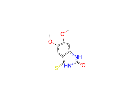 COc1cc2[nH]c(=O)[nH]c(=S)c2cc1OC